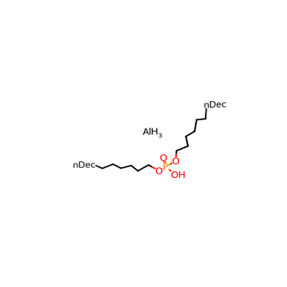 CCCCCCCCCCCCCCCCOP(=O)(O)OCCCCCCCCCCCCCCCC.[AlH3]